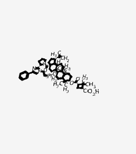 C=C(C)[C@@H]1CC[C@]2(C(=O)N3CCC[C@H]3c3nc(-c4ccccc4)cn3CCC(C)C)CC[C@]3(C)[C@H](CCC4[C@@]5(C)CC[C@H](OC(=O)[C@H]6C[C@@H](C(=O)O)C6(C)C)C(C)(C)C5CC[C@]43C)C12